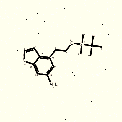 CC(C)(C)[Si](C)(C)OCCc1cc(N)cc2[nH]ccc12